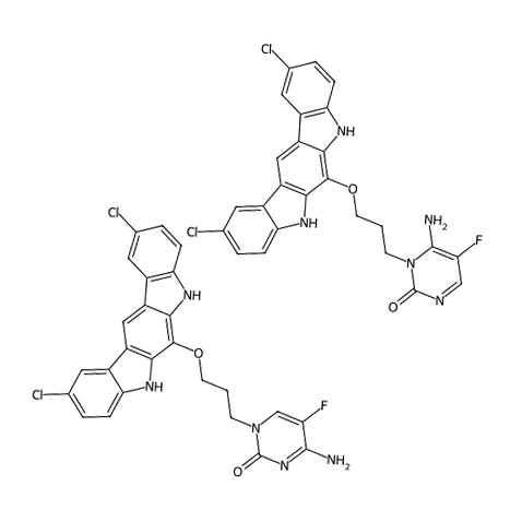 Nc1c(F)cnc(=O)n1CCCOc1c2[nH]c3ccc(Cl)cc3c2cc2c1[nH]c1ccc(Cl)cc12.Nc1nc(=O)n(CCCOc2c3[nH]c4ccc(Cl)cc4c3cc3c2[nH]c2ccc(Cl)cc23)cc1F